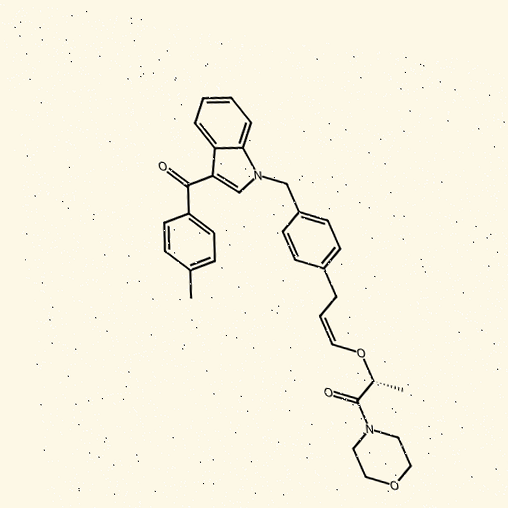 Cc1ccc(C(=O)c2cn(Cc3ccc(C/C=C\O[C@H](C)C(=O)N4CCOCC4)cc3)c3ccccc23)cc1